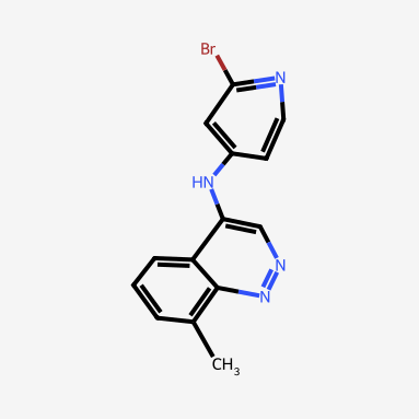 Cc1cccc2c(Nc3ccnc(Br)c3)cnnc12